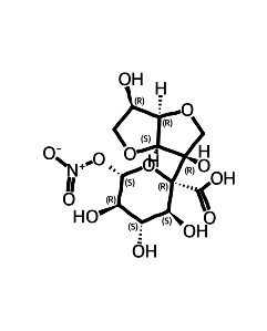 O=C(O)[C@@]1([C@@]2(O)CO[C@@H]3[C@H](O)CO[C@@H]32)O[C@@H](O[N+](=O)[O-])[C@H](O)[C@@H](O)[C@@H]1O